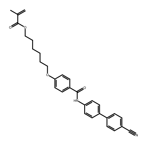 C=C(C)C(=O)OCCCCCCOc1ccc(C(=O)Nc2ccc(-c3ccc(C#N)cc3)cc2)cc1